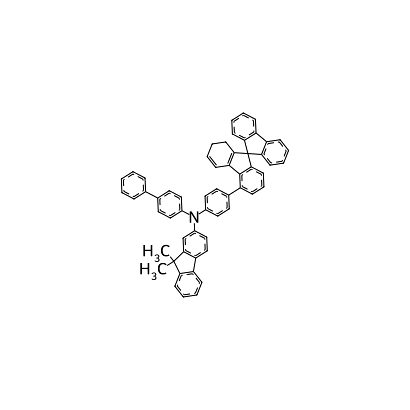 CC1(C)c2ccccc2-c2ccc(N(c3ccc(-c4ccccc4)cc3)c3ccc(-c4cccc5c4C4=C(CCC=C4)C54c5ccccc5-c5ccccc54)cc3)cc21